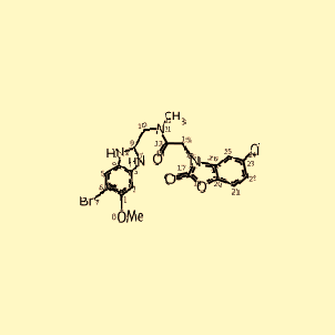 COc1cc2c(cc1Br)NC(CN(C)C(=O)Cn1c(=O)oc3ccc(Cl)cc31)N2